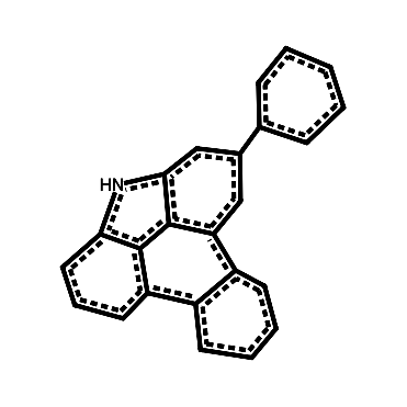 c1ccc(-c2cc3[nH]c4cccc5c6ccccc6c(c2)c3c45)cc1